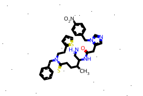 CC(CCC(=S)N(CCc1cccs1)Cc1ccccc1)C(CN)NC(=O)Cc1cncn1Cc1ccc([N+](=O)[O-])cc1